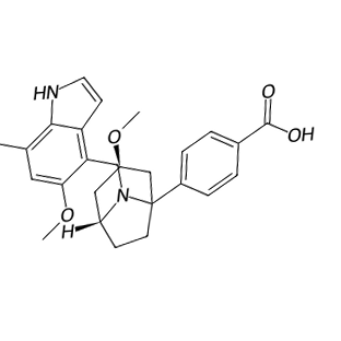 COc1cc(C)c2[nH]ccc2c1CN1[C@@H]2CCC1(c1ccc(C(=O)O)cc1)C[C@H](OC)C2